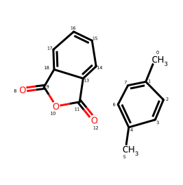 Cc1ccc(C)cc1.O=C1OC(=O)c2ccccc21